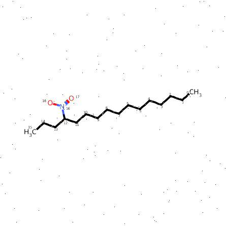 CCCCCCCCCCCCC(CCC)[N+](=O)[O-]